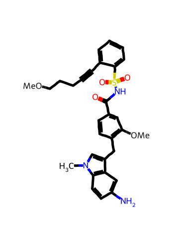 COCCCC#Cc1ccccc1S(=O)(=O)NC(=O)c1ccc(Cc2cn(C)c3ccc(N)cc23)c(OC)c1